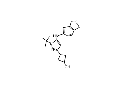 CC(C)(C)n1nc(C2CC(O)C2)cc1Nc1ccc2c(c1)CSC2